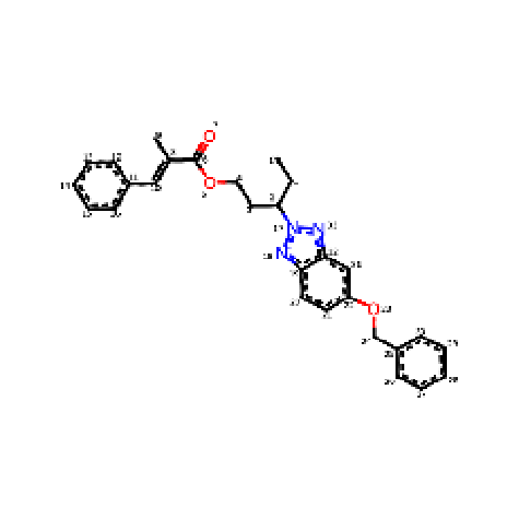 CCC(CCOC(=O)C(C)=Cc1ccccc1)n1nc2ccc(OCc3ccccc3)cc2n1